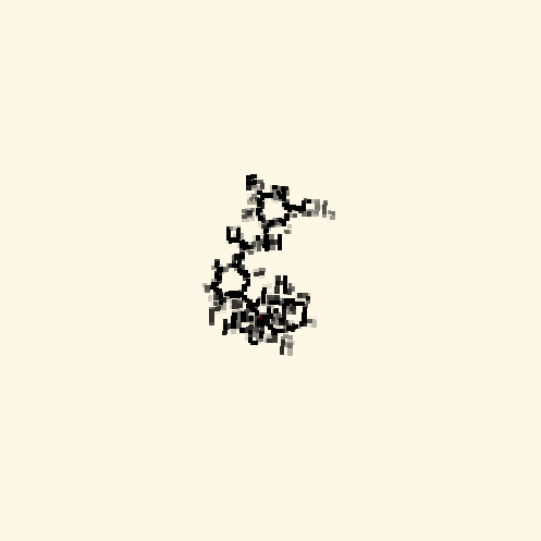 Cc1cc(NC(=O)c2ccc(F)c(C(F)(F)C(=O)N3[C@@H]4CC[C@H]3CC(O)C4)c2)cc(F)n1